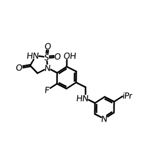 CC(C)c1cncc(NCc2cc(O)c(N3CC(=O)NS3(=O)=O)c(F)c2)c1